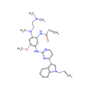 C=CCn1cc(-c2ccnc(Nc3cc(NC(=O)C=C)c(N(C)CCN(C)C)cc3OC)n2)c2ccccc21